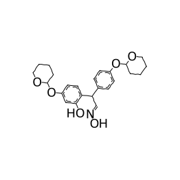 ON=CC(c1ccc(OC2CCCCO2)cc1)c1ccc(OC2CCCCO2)cc1O